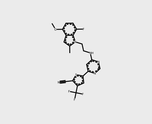 COc1ccc(F)c2c1cc(C)n2CCNc1cc(-c2cc(C(F)(F)F)c(C#N)s2)ncn1